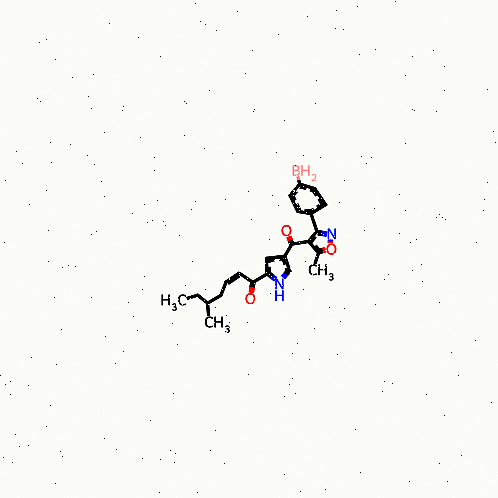 Bc1ccc(-c2noc(C)c2C(=O)c2c[nH]c(C(=O)/C=C\CC(C)CC)c2)cc1